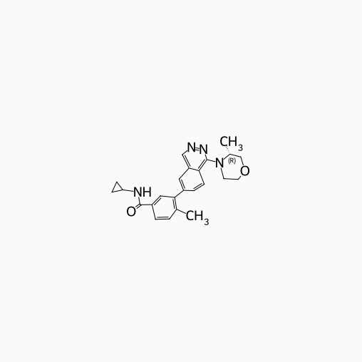 Cc1ccc(C(=O)NC2CC2)cc1-c1ccc2c(N3CCOC[C@H]3C)nncc2c1